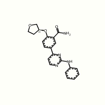 NC(=O)c1cc(-c2ccnc(Nc3ccccc3)n2)ccc1O[C@H]1CCOC1